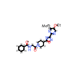 CCOc1cnc(-c2noc(C3CCN(C(=O)CNC(=O)c4ccccc4)CC3)n2)nc1OC